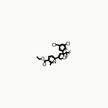 CCOC(=O)c1ccc(C2=CC(c3cc(Cl)cc(Cl)c3)(C(F)(F)F)OC2)nc1C